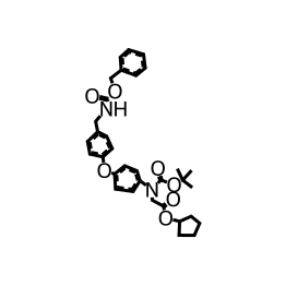 CC(C)(C)OC(=O)N(CC(=O)OC1CCCC1)c1ccc(Oc2ccc(CNC(=O)OCc3ccccc3)cc2)cc1